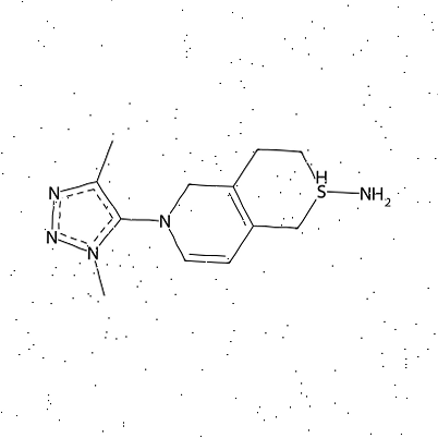 Cc1nnn(C)c1N1C=CC2=C(CC[SH](N)C2)C1